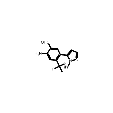 CC(C)n1nccc1-c1cc(C=O)c(N)cc1C(C)(F)F